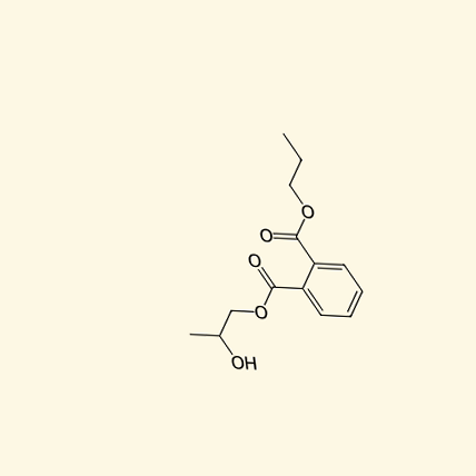 CCCOC(=O)c1ccccc1C(=O)OCC(C)O